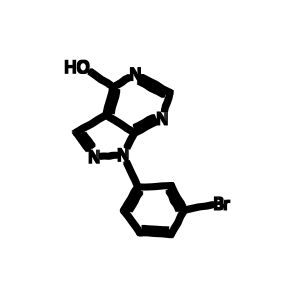 Oc1ncnc2c1cnn2-c1cccc(Br)c1